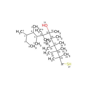 CCC(C)C(C)C(C)C(C)(C)C(C)(O)C(C)(C)C(C)(C)C(C)(C)C(C)(C)CS